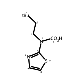 CC(C)(C)CCN(C(=O)O)c1nccs1